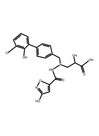 O=C(NN(Cc1ccc(-c2cccc(Cl)c2O)cc1)CC(O)C(=O)O)c1cc(O)no1